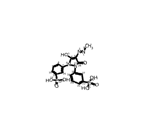 C/N=N/c1c(O)n(-c2cccc(P(=O)(O)O)c2)n(-c2cccc(P(=O)(O)O)c2)c1=O